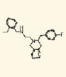 CCc1ccccc1CNCCN1Cc2ccccc2CC1Cc1ccc(F)cc1